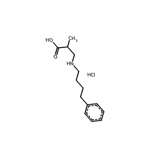 CC(CNCCCCc1ccccc1)C(=O)O.Cl